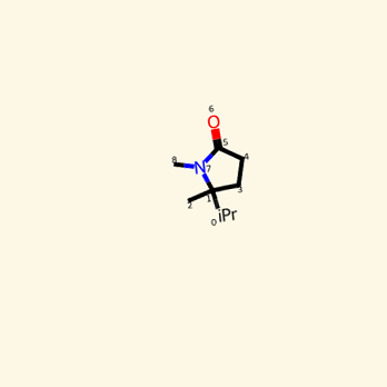 CC(C)C1(C)CCC(=O)N1C